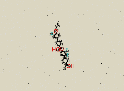 C=CCCOc1ccc(C2CCC(C(O)OC3CC=C(C4CCC(C(C)O)CC4)C(F)=C3F)CC2)cc1F